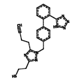 C#CCCc1nc(CCS)nn1Cc1ccc(-c2ccccc2-c2nnn[nH]2)cc1